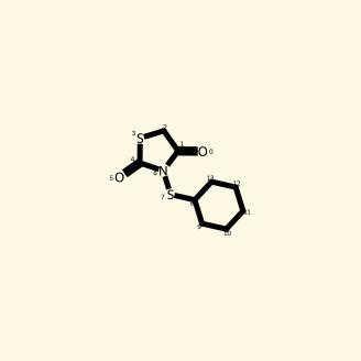 O=C1CSC(=O)N1SC1CCCCC1